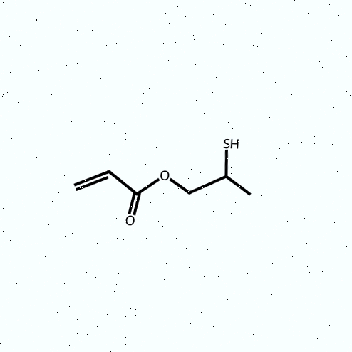 C=CC(=O)OCC(C)S